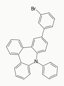 Brc1cccc(-c2ccc3c(c2)-c2ccccc2-c2ccccc2N3c2ccccc2)c1